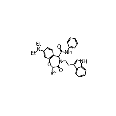 CCN(CC)c1ccc2c(c1)OC(C(C)C)C(=O)N(CCc1c[nH]c3ccccc13)C2C(=O)Nc1ccccc1